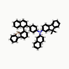 CC1(C)c2ccccc2-c2ccc(N(c3ccc(-c4ccc5ccccc5c4-c4cccc5c4sc4ccccc45)cc3)c3ccc4ccccc4c3)cc21